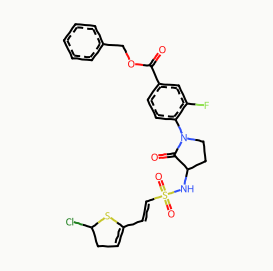 O=C(OCc1ccccc1)c1ccc(N2CCC(NS(=O)(=O)/C=C/C3=CCC(Cl)S3)C2=O)c(F)c1